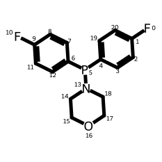 Fc1ccc(P(c2ccc(F)cc2)N2CCOCC2)cc1